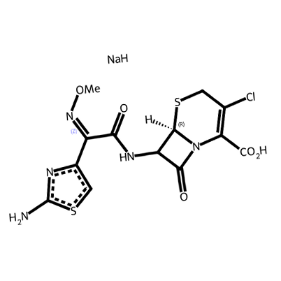 CO/N=C(\C(=O)NC1C(=O)N2C(C(=O)O)=C(Cl)CS[C@H]12)c1csc(N)n1.[NaH]